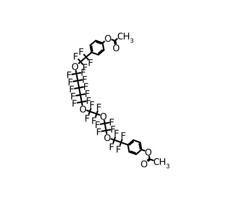 CC(=O)Oc1ccc(C(F)(F)C(F)(F)OC(F)(F)C(F)(F)OC(F)(F)C(F)(F)OC(F)(F)C(F)(F)C(F)(F)C(F)(F)C(F)(F)OC(F)(F)C(F)(F)c2ccc(OC(C)=O)cc2)cc1